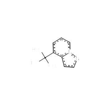 CC(C)(C)c1cccn2nccc12